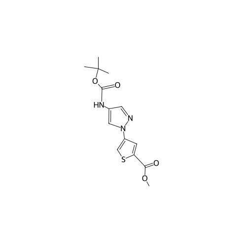 COC(=O)c1cc(-n2cc(NC(=O)OC(C)(C)C)cn2)cs1